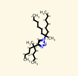 CCCCCCC(C)(CCCCCC)n1cc(C(C)(CCCC)CCCC)nn1